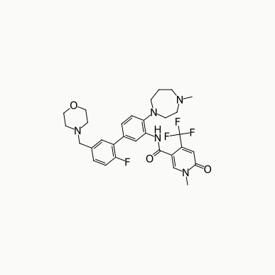 CN1CCCN(c2ccc(-c3cc(CN4CCOCC4)ccc3F)cc2NC(=O)c2cn(C)c(=O)cc2C(F)(F)F)CC1